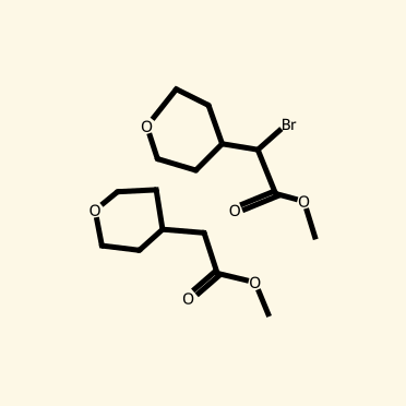 COC(=O)C(Br)C1CCOCC1.COC(=O)CC1CCOCC1